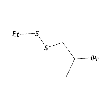 CCSSCC(C)C(C)C